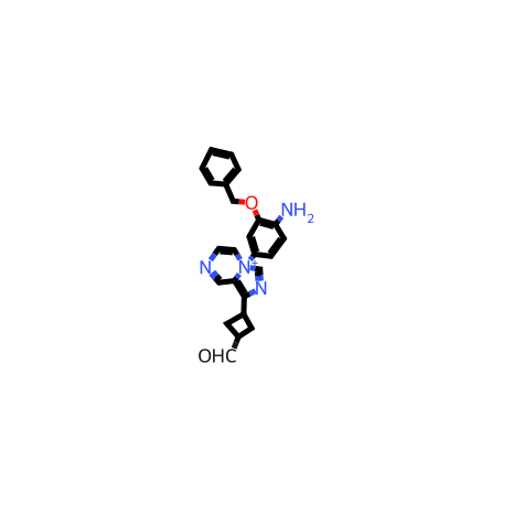 Nc1ccc([N+]23C=CN=CC2=C(C2CC(C=O)C2)N=C3)cc1OCc1ccccc1